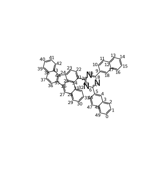 c1ccc2cc(-c3nc(-c4ccc5ccccc5c4)nc(-c4ccc5c6c(cc7ccccc7c46)-c4ccc6ccccc6c4-5)n3)ccc2c1